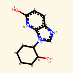 Oc1ccc2ncn(C3CCCCC3O)c2n1